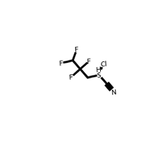 N#C[SH](Cl)CC(F)(F)C(F)F